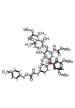 CN(C(=O)OC(C)(C)C)[C@@H]1[C@@H](O)[C@@H](O[C@@H]2[C@@H](O)[C@H](O[C@H]3OC(CNC(=O)OCc4ccc([N+](=O)[O-])cc4)=CC[C@H]3N/C(=N/C(=O)OC(C)(C)C)NC(=O)OC(C)(C)C)[C@@H](NC(=O)OC(C)(C)C)C[C@H]2NC(=O)OC(C)(C)C)OC[C@]1(C)O